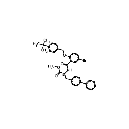 COC(=O)[C@H](Cc1ccc(-c2ccccc2)cc1)NC(=O)c1cc(Br)ccc1OCc1ccc(C(C)(C)C)cc1